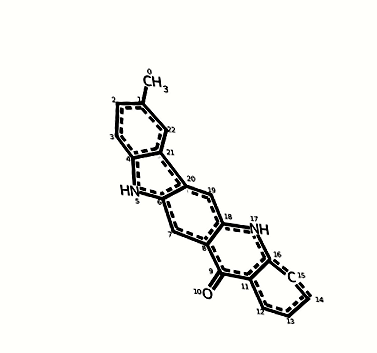 Cc1ccc2[nH]c3cc4c(=O)c5ccccc5[nH]c4cc3c2c1